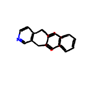 c1ccc2c(c1)C1c3ccncc3C2c2cc3ccccc3cc21